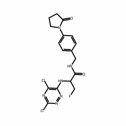 O=C(NCc1ccc(N2CCCC2=O)cc1)C(CF)Nc1nnc(Cl)nc1Cl